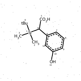 CC(C)(C)[Si](C)(C)C(C(=O)O)c1cccc(O)c1